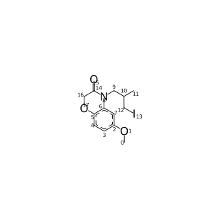 COc1ccc2c(c1)N(CC(C)CI)C(=O)CO2